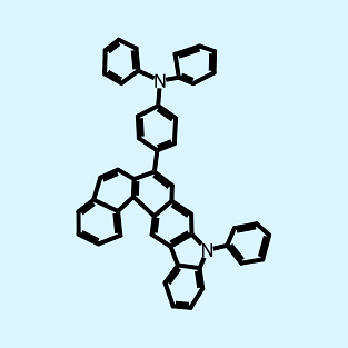 c1ccc(N(c2ccccc2)c2ccc(-c3cc4cc5c(cc4c4c3ccc3ccccc34)c3ccccc3n5-c3ccccc3)cc2)cc1